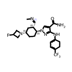 C/N=C\[C@H]1C[C@@H](N2CC(F)C2)CC[C@@H]1n1cc(C(N)=O)c(NC2=CC=C(C(F)(F)F)CC2)n1